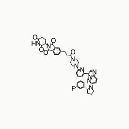 O=C1CCC(N2C(=O)c3ccc(CCC(=O)N4CCN(c5cccc(-c6cnc7ccc(N8CCC[C@@H]8c8cccc(F)c8)nn67)n5)CC4)cc3C2=O)C(=O)N1